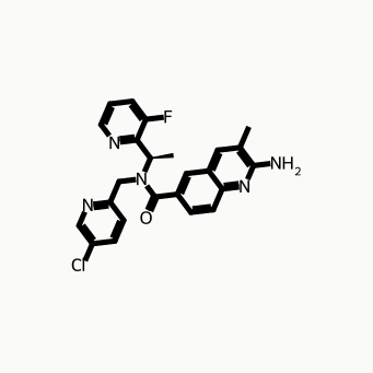 Cc1cc2cc(C(=O)N(Cc3ccc(Cl)cn3)[C@H](C)c3ncccc3F)ccc2nc1N